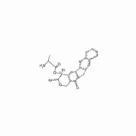 CC[C@@]1(OC(=O)C(C)N)C(=O)OCc2c1cc1n(c2=O)Cc2cc3ccccc3nc2-1